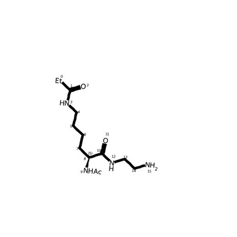 CCC(=O)NCCCC[C@H](NC(C)=O)C(=O)NCCN